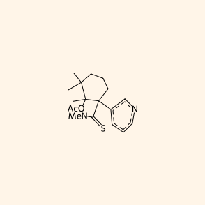 CNC(=S)C1(c2cccnc2)CCCC(C)(C)C1(C)OC(C)=O